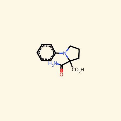 NC(=O)C1(C(=O)O)CCCN1c1ccccc1